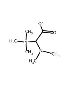 CN(C)C(C(=O)[O-])[N+](C)(C)C